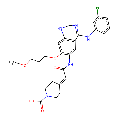 COCCCOc1cc2c(cc1NC(=O)C=C1CCN(C(=O)O)CC1)C(Nc1cccc(Br)c1)=NCN2